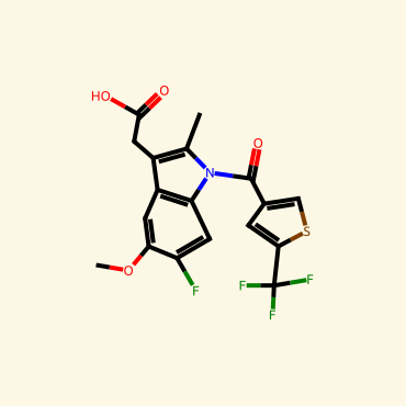 COc1cc2c(CC(=O)O)c(C)n(C(=O)c3csc(C(F)(F)F)c3)c2cc1F